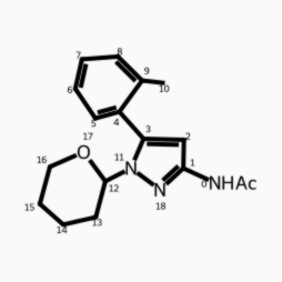 CC(=O)Nc1cc(-c2ccccc2C)n(C2CCCCO2)n1